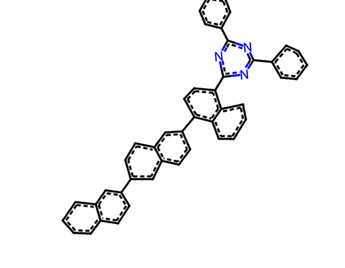 c1ccc(-c2nc(-c3ccccc3)nc(-c3ccc(-c4ccc5cc(-c6ccc7ccccc7c6)ccc5c4)c4ccccc34)n2)cc1